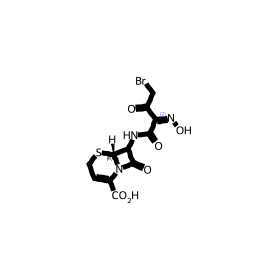 O=C(O)C1=CCS[C@@H]2C(NC(=O)/C(=N\O)C(=O)CBr)C(=O)N12